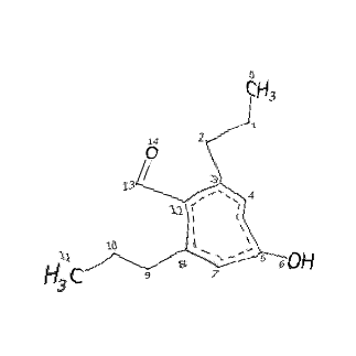 CCCc1cc(O)cc(CCC)c1C=O